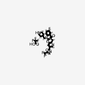 O=C(O)C(F)(F)F.O=c1c2cc(F)ccc2n(CC2CCNCC2)c(=O)n1Cc1ccc(-c2nnc(C(F)F)o2)cn1